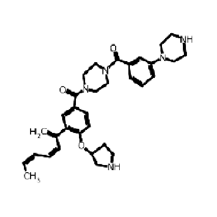 C=C(/C=C\C=C/C)c1cc(C(=O)N2CCN(C(=O)c3cccc(N4CCNCC4)c3)CC2)ccc1OC1CCNC1